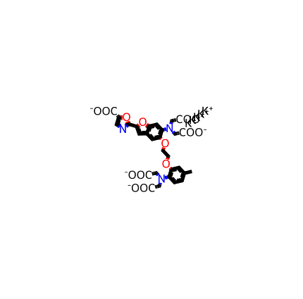 Cc1ccc(N(CC(=O)[O-])CC(=O)[O-])c(OCCOc2cc3cc(-c4ncc(C(=O)[O-])o4)oc3cc2N(CC(=O)[O-])CC(=O)[O-])c1.[K+].[K+].[K+].[K+].[K+]